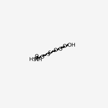 O=C(CCOCCCSSCCCOCCOCCOCCO)NS